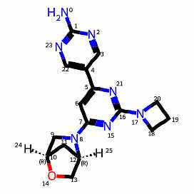 Nc1ncc(-c2cc(N3C[C@H]4C[C@@H]3CO4)nc(N3CCC3)n2)cn1